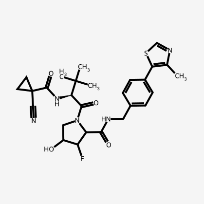 Cc1ncsc1-c1ccc(CNC(=O)C2C(F)C(O)CN2C(=O)[C@@H](NC(=O)C2(C#N)CC2)C(C)(C)C)cc1